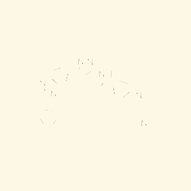 CN1CCC(Nc2ccc(C(=O)Nc3cc(-c4ccc5ncn(Cc6ccccc6Cl)c5c4)n[nH]3)cc2)CC1